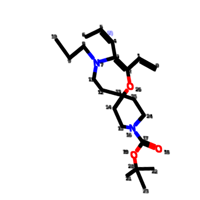 C=CC1=C(/C=C\C)N(CCC)CCC2(CCN(C(=O)OC(C)(C)C)CC2)O1